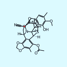 COc1c(C)cc2c(c1O)[C@@H]1[C@@H]3[C@H]4SCC(=O)C(=O)OC[C@@H](c5c6c(c(C)c(OC(C)=O)c54)OCO6)N3[C@@H](C#N)C(C2)N1C